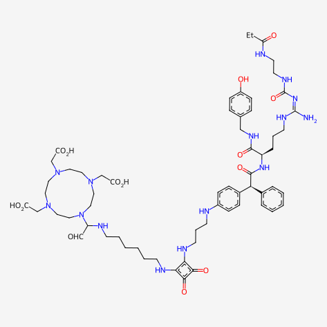 CCC(=O)NCCNC(=O)/N=C(/N)NCCC[C@@H](NC(=O)[C@@H](c1ccccc1)c1ccc(NCCCNc2c(NCCCCCCNC(C=O)N3CCN(CC(=O)O)CCN(CC(=O)O)CCN(CC(=O)O)CC3)c(=O)c2=O)cc1)C(=O)NCc1ccc(O)cc1